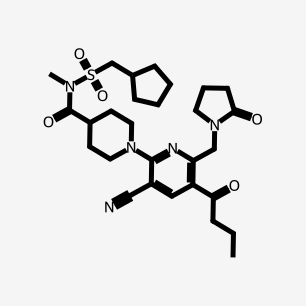 CCCC(=O)c1cc(C#N)c(N2CCC(C(=O)N(C)S(=O)(=O)CC3CCCC3)CC2)nc1CN1CCCC1=O